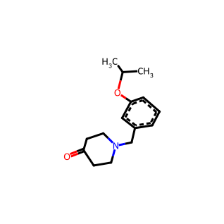 CC(C)Oc1cccc(CN2CCC(=O)CC2)c1